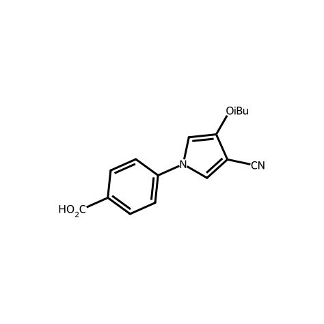 CC(C)COc1cn(-c2ccc(C(=O)O)cc2)cc1C#N